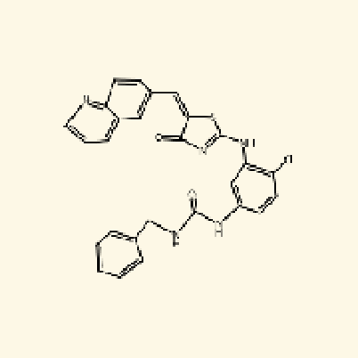 O=C(NCc1ccccc1)Nc1ccc(Cl)c(NC2=NC(=O)C(=Cc3ccc4ncccc4c3)S2)c1